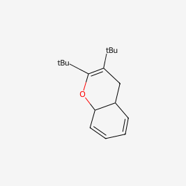 CC(C)(C)C1=C(C(C)(C)C)OC2C=CC=CC2C1